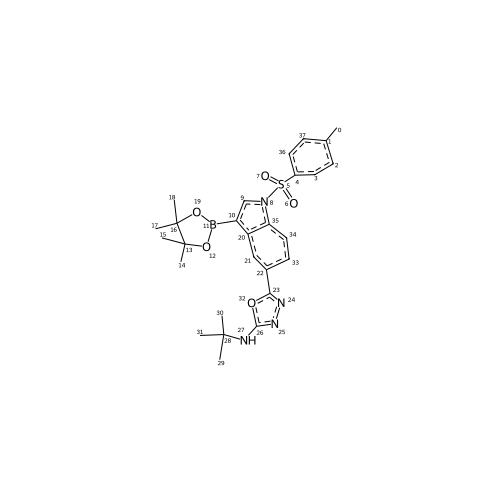 Cc1ccc(S(=O)(=O)n2cc(B3OC(C)(C)C(C)(C)O3)c3cc(-c4nnc(NC(C)(C)C)o4)ccc32)cc1